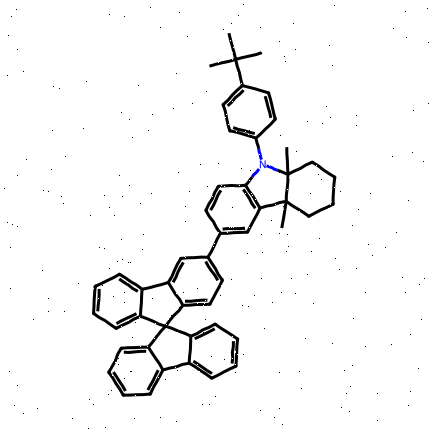 CC(C)(C)c1ccc(N2c3ccc(-c4ccc5c(c4)-c4ccccc4C54c5ccccc5-c5ccccc54)cc3C3(C)CCCCC23C)cc1